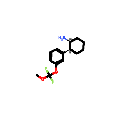 COC(F)(F)Oc1cccc([C@H]2CCCC[C@H]2N)c1